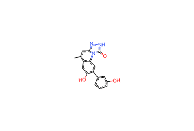 Cc1cc2n[nH]c(=O)n2c2cc(-c3cccc(O)c3)c(O)cc12